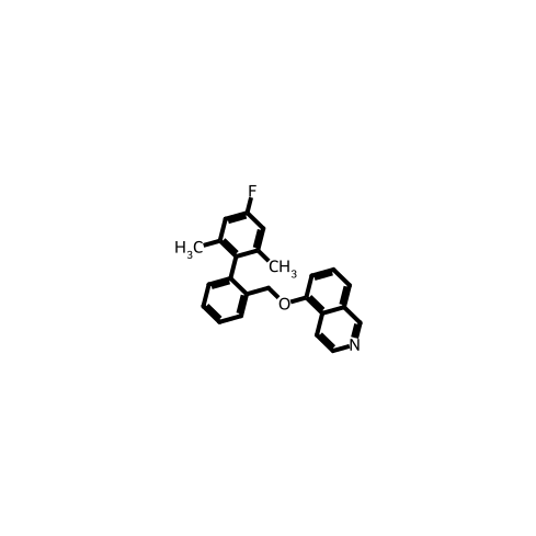 Cc1cc(F)cc(C)c1-c1ccccc1COc1cccc2cnccc12